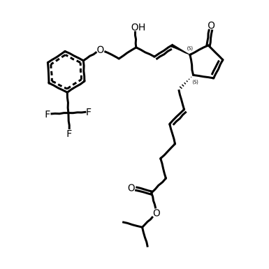 CC(C)OC(=O)CCCC=CC[C@H]1C=CC(=O)[C@@H]1C=CC(O)COc1cccc(C(F)(F)F)c1